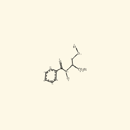 CCOCC(C(=O)OCC)N(Cl)C(=O)c1ccccn1